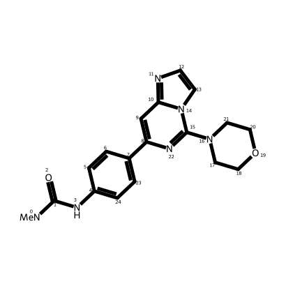 CNC(=O)Nc1ccc(-c2cc3nccn3c(N3CCOCC3)n2)cc1